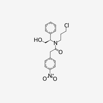 O=C(Cc1ccc([N+](=O)[O-])cc1)N(CCCCl)[C@@H](CO)c1ccccc1